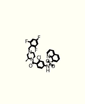 C[C@H]1CN(Cc2c(F)cc(F)cc2F)CCN1C(=O)c1ccc(NS(=O)(=O)c2cccc3cccnc23)cc1Cl